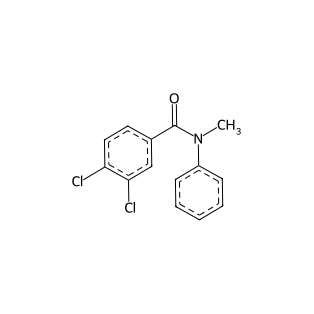 CN(C(=O)c1ccc(Cl)c(Cl)c1)c1ccccc1